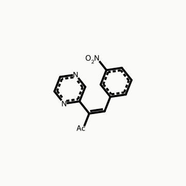 CC(=O)/C(=C/c1cccc([N+](=O)[O-])c1)c1cnccn1